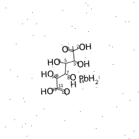 O=C(O)C(O)C(O)C(O)C(O)C(=O)O.[PbH2]